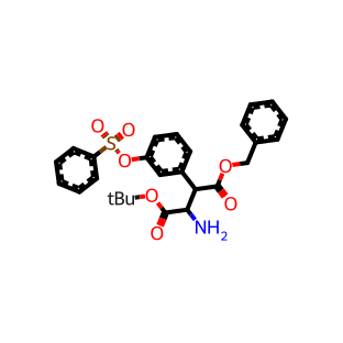 CC(C)(C)OC(=O)C(N)C(C(=O)OCc1ccccc1)c1cccc(OS(=O)(=O)c2ccccc2)c1